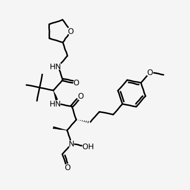 COc1ccc(CCC[C@@H](C(=O)N[C@H](C(=O)NCC2CCCO2)C(C)(C)C)[C@H](C)N(O)C=O)cc1